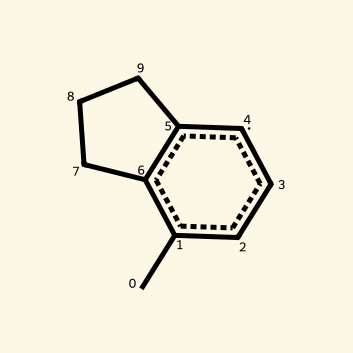 Cc1cc[c]c2c1CCC2